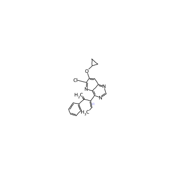 C=C(/C(=C\C)c1ncnc2cc(OC3CC3)c(Cl)nc12)c1ccccc1